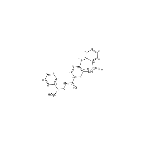 O=C(NC[C@H](C(=O)O)c1ccccc1)c1ccc2c(c1)NC(=O)c1ccccc1S2